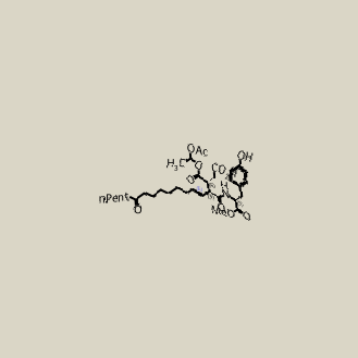 CCCCCC(=O)CCCCCC/C=C/[C@H](C(=O)N[C@@H](Cc1ccc(O)cc1)C(=O)OC)[C@@H](CC(=O)O)C(=O)OC(C)OC(C)=O